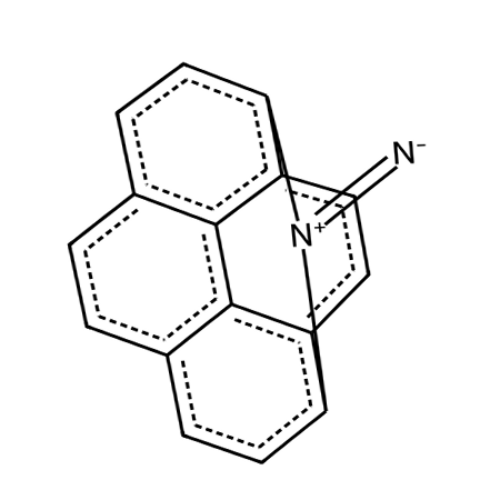 [N-]=[N+]1c2ccc3ccc4ccc1c1ccc2c3c41